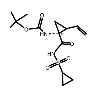 C=CC1C[C@]1(NC(=O)OC(C)(C)C)C(=O)NS(=O)(=O)C1CC1